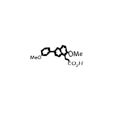 COc1cccc(-c2ccc3c(C=CC(=O)O)c(OC)ccc3c2)c1